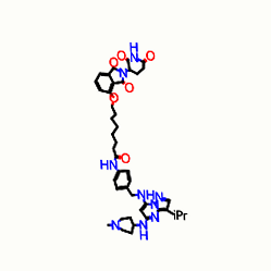 CC(C)c1cnn2c(NCc3ccc(NC(=O)CCCCCCCOc4cccc5c4C(=O)N(C4CCC(=O)NC4=O)C5=O)cc3)cc(NC3CCN(C)CC3)nc12